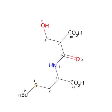 CCCCSCC(NC(=O)C(CO)C(=O)O)C(=O)O